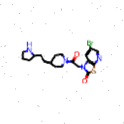 O=C(Cn1c(=O)sc2ncc(Br)cc21)N1CCC(CCC2CCCN2)CC1